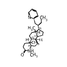 CCC(Cc1ccccn1)[C@H]1CC[C@H]2[C@@H]3CC[C@H]4N(C)C(=O)CC[C@]4(C)[C@H]3CC[C@]12C